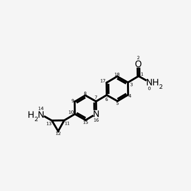 NC(=O)c1ccc(-c2ccc(C3CC3N)cn2)cc1